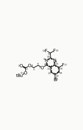 CC(C)(C)OC(=O)OCCOc1nc(C(F)F)nc2c(F)cc(Br)cc12